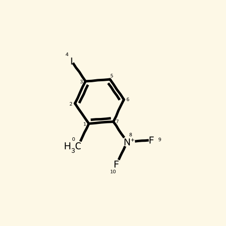 Cc1cc(I)ccc1[N+](F)F